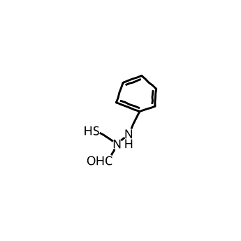 O=CN(S)Nc1ccccc1